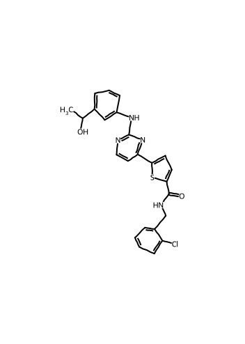 CC(O)c1cccc(Nc2nccc(-c3ccc(C(=O)NCc4ccccc4Cl)s3)n2)c1